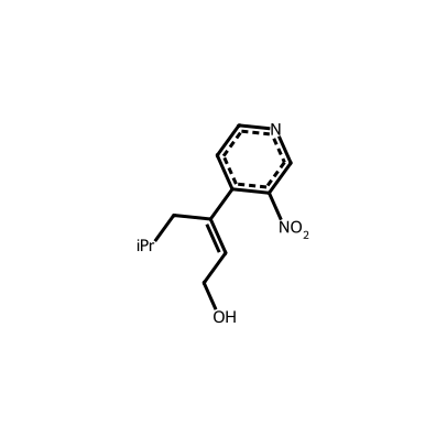 CC(C)CC(=CCO)c1ccncc1[N+](=O)[O-]